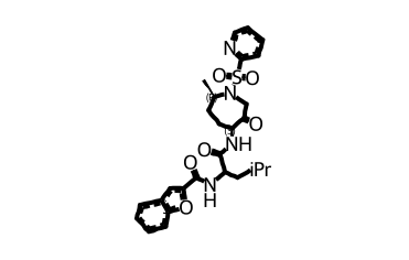 CC(C)CC(NC(=O)c1cc2ccccc2o1)C(=O)N[C@H]1CC[C@@H](C)N(S(=O)(=O)c2ccccn2)CC1=O